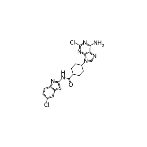 Nc1nc(Cl)nc2c1ncn2C1CCC(C(=O)Nc2nc3ccc(Cl)cc3s2)CC1